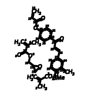 C=C(C)C(=O)O.C=C(C)C(=O)OCC1CO1.C=CC(=O)Oc1ccc(C(=O)C=Cc2ccc(OC)c(C)c2)cc1